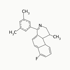 Cc1cc(C)cc(C2=NCC(C)C3C2=CC=C2C(F)=CC=CC23)c1